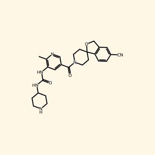 Cc1ncc(C(=O)N2CCC3(CC2)OCc2cc(C#N)ccc23)cc1NC(=O)NC1CCNCC1